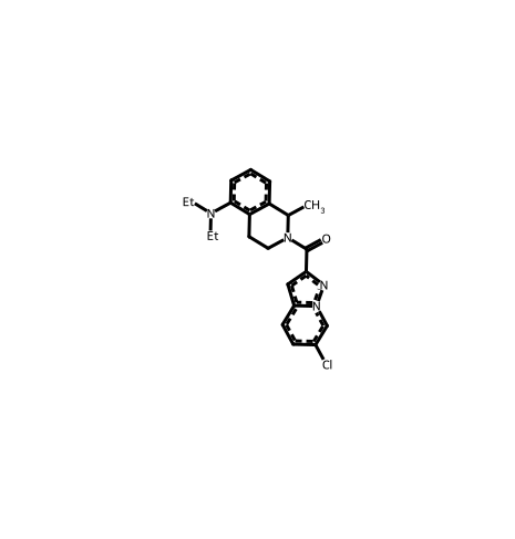 CCN(CC)c1cccc2c1CCN(C(=O)c1cc3ccc(Cl)cn3n1)C2C